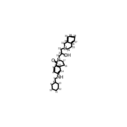 O=C1c2ccc(NCC3CCCCC3)cc2CCN1CC(O)CN1CCc2ccccc2C1